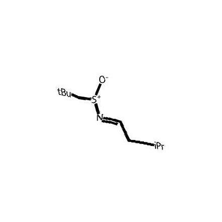 CC(C)CC=N[S+]([O-])C(C)(C)C